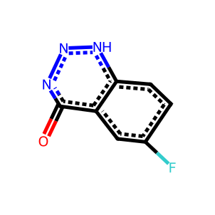 O=c1nn[nH]c2ccc(F)cc12